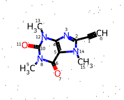 C#Cc1nc2c(c(=O)n(C)c(=O)n2C)n1C